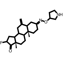 C=C1CC2C(CC[C@]3(C)C(=O)C(F)CC23)[C@@]2(C)CCC(=NOC3CCNC3)CC12